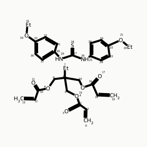 C=CC(=O)OCC(CC)(COC(=O)C=C)COC(=O)C=C.CCOc1ccc(NC(=S)Nc2ccc(OCC)cc2)cc1